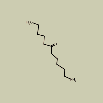 CCCCCC(=O)CCCCCN